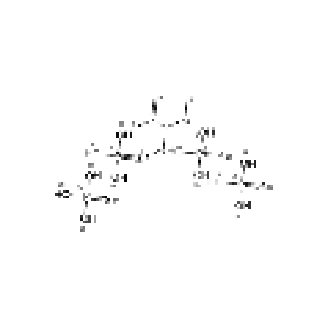 C=CC.CCCCC.OP(O)(O)=S.OP(O)(O)=S.OP(O)(O)=S.OP(O)(O)=S